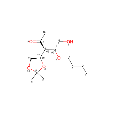 CCCCO[C@@H](CO)[C@H](C(C)=O)[C@@H]1COC(C)(C)O1